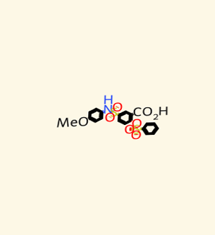 COc1ccc(NS(=O)(=O)c2ccc(OS(=O)(=O)c3ccccc3)c(C(=O)O)c2)cc1